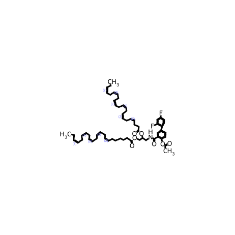 CC/C=C\C/C=C\C/C=C\C/C=C\C/C=C\C/C=C\CCC(=O)OC(CNC(=O)c1cc(-c2ccc(F)cc2F)ccc1OC(C)=O)COC(=O)CCCCC/C=C\C/C=C\C/C=C\C/C=C\C/C=C\CC